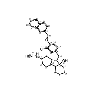 Cl.Cl.NC1CCN(C2CCCCC2(O)CCc2ccc(OCc3ccc4ccccc4c3)c(Cl)c2)CC1